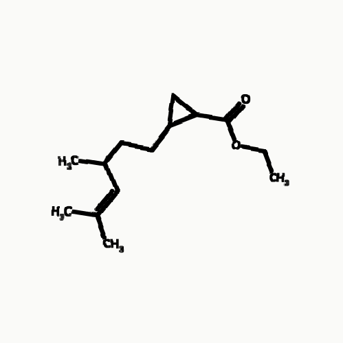 CCOC(=O)C1CC1CCC(C)C=C(C)C